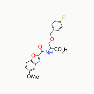 COc1ccc2oc(C(=O)NC(COCc3ccc(F)cc3)C(=O)O)cc2c1